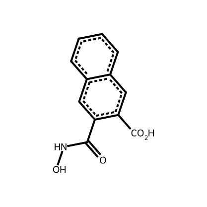 O=C(O)c1cc2ccccc2cc1C(=O)NO